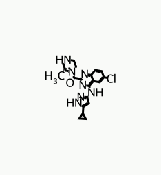 C[C@@H]1CNCCN1C(=O)c1nc(Nc2cc(C3CC3)[nH]n2)c2cc(Cl)ccc2n1